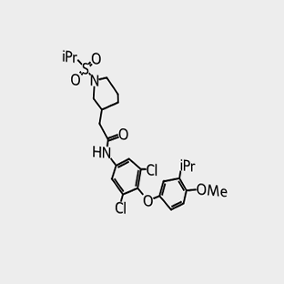 COc1ccc(Oc2c(Cl)cc(NC(=O)CC3CCCN(S(=O)(=O)C(C)C)C3)cc2Cl)cc1C(C)C